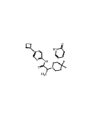 CC(C(=O)Nc1ccc(C2CCC2)cn1)N1CCC(F)(F)[C@@H](c2ccc(=O)[nH]c2)C1